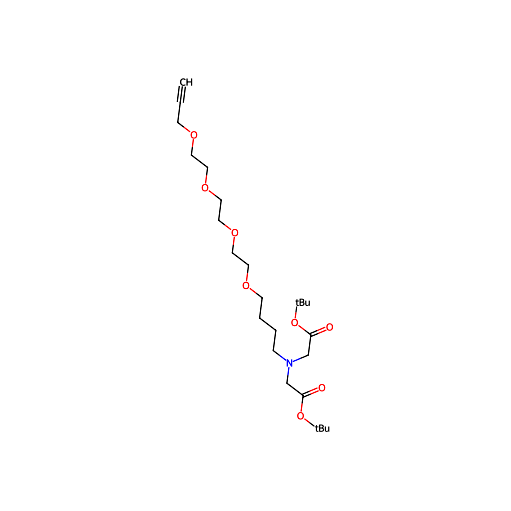 C#CCOCCOCCOCCOCCCCN(CC(=O)OC(C)(C)C)CC(=O)OC(C)(C)C